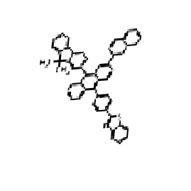 CC1(C)c2ccccc2-c2ccc(-c3c4ccccc4c(-c4ccc(-c5nc6ccccc6s5)cc4)c4ccc(-c5ccc6ccccc6c5)cc34)cc21